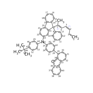 C=C/C=C\C=C(/C)C1(c2ccccc2)c2ccccc2-c2ccc(N(c3ccc(-c4cccc5c4oc4ccccc45)cc3)c3ccc(C(C)(C)C)cc3)cc21